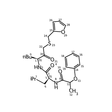 CCCC[C@H](NC(=O)[C@H](CC(C)C)NC(=O)C(C)Oc1ccccc1)C(=O)CSCc1ccco1